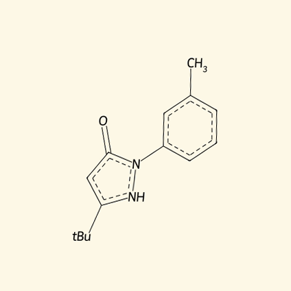 Cc1cccc(-n2[nH]c(C(C)(C)C)cc2=O)c1